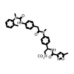 Cc1cc(C(=O)NC(CC(=O)O)c2ccc(N(C)C(=O)Cc3ccc(NC(=O)N(C)c4ccccc4C)cc3)cc2)no1